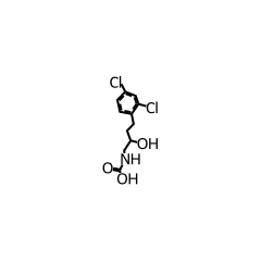 O=C(O)NCC(O)CCc1ccc(Cl)cc1Cl